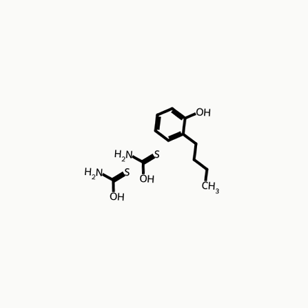 CCCCc1ccccc1O.NC(O)=S.NC(O)=S